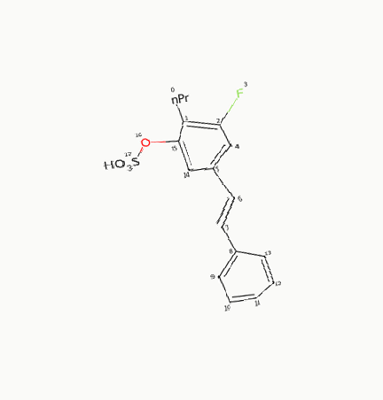 CCCc1c(F)cc(/C=C/c2ccccc2)cc1OS(=O)(=O)O